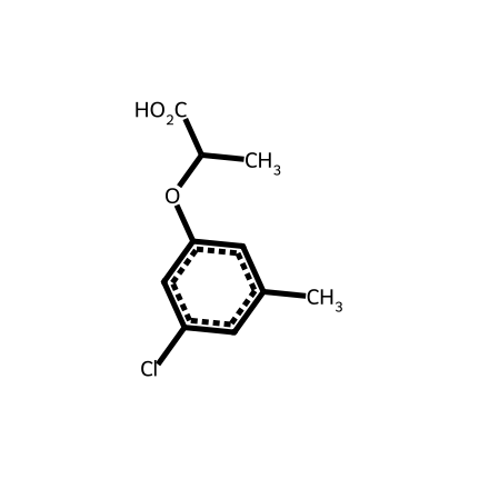 Cc1cc(Cl)cc(OC(C)C(=O)O)c1